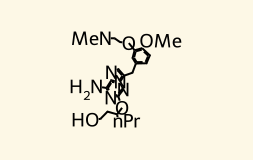 CCCC(CCO)Oc1nc(N)c2ncc(Cc3ccc(OC)c(OCCNC)c3)n2n1